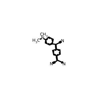 CN(C)c1ccc(C(C#N)=c2ccc(=C(C#N)C#N)cc2)cc1